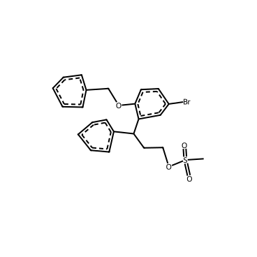 CS(=O)(=O)OCCC(c1ccccc1)c1cc(Br)ccc1OCc1ccccc1